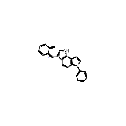 C=c1cccc/c1=C/c1c[nH]c2c1ccc1c2ccn1-c1ccccc1